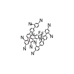 N#Cc1cccc(-c2cc(-n3c4cc(-c5ccc(C#N)cc5C#N)ccc4c4ccc(-c5ccc(C#N)cc5C#N)cc43)c(C(F)(F)F)cc2-n2c3cc(-c4ccc(C#N)cc4C#N)ccc3c3ccc(-c4ccc(C#N)cc4C#N)cc32)c1